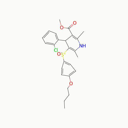 CCCCOc1ccc([S+]([O-])C2=C(C)NC(C)=C(C(=O)OC)C2c2ccccc2Cl)cc1